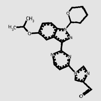 CC(C)Oc1ccc2c(c1)c(-c1nccc(-n3cnc(C=O)c3)n1)nn2C1CCCCO1